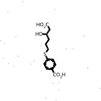 O=C(O)CC(O)CCCSc1ccc(C(=O)O)cc1